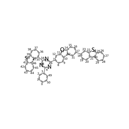 c1ccc(-c2nc(-c3ccc4c(c3)oc3ccc(-c5ccc6c(c5)sc5ccccc56)cc34)nc(-c3cccc4sc5ccccc5c34)n2)cc1